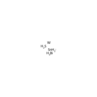 S.[BiH3].[SnH2].[W]